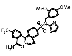 COc1ccc(CN(c2nccs2)S(=O)(=O)c2ccc3c(-c4ccc(C(F)(F)F)cc4C(N)=O)nccc3c2)c(OC)c1